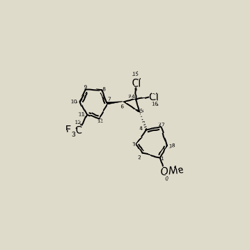 COc1ccc([C@@H]2[C@@H](c3cccc(C(F)(F)F)c3)C2(Cl)Cl)cc1